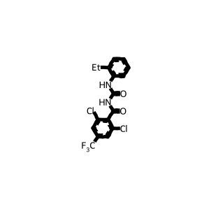 CCc1ccccc1NC(=O)NC(=O)c1c(Cl)cc(C(F)(F)F)cc1Cl